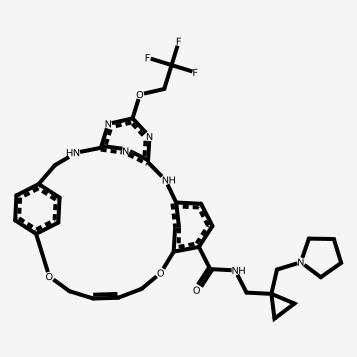 O=C(NCC1(CN2CCCC2)CC1)c1ccc2cc1OCC=CCOc1ccc(cc1)CNc1nc(nc(OCC(F)(F)F)n1)N2